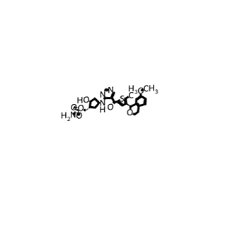 COc1ccc2c(c1)[C@H](c1cc(C(=O)c3cncnc3N[C@@H]3C[C@H](COS(N)(=O)=O)[C@@H](O)C3)sc1C)OCC2